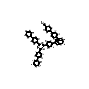 N#Cc1ccc(-c2ccc(C34CC5CC(C3)CC(c3ccc(-c6nc(-c7ccc(-c8ccccc8)cc7)nc(-c7ccc(-c8ccccc8)cc7)n6)cc3)(C5)C4)cc2)cc1